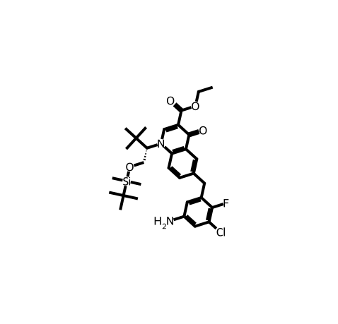 CCOC(=O)c1cn([C@H](CO[Si](C)(C)C(C)(C)C)C(C)(C)C)c2ccc(Cc3cc(N)cc(Cl)c3F)cc2c1=O